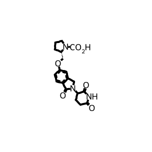 O=C1CCC(N2Cc3cc(OC[C@@H]4CCCN4C(=O)O)ccc3C2=O)C(=O)N1